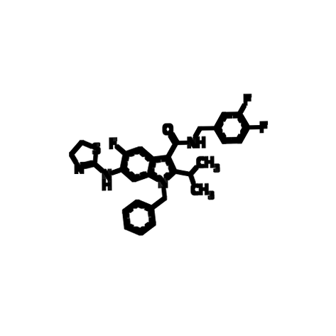 CC(C)c1c(C(=O)NCc2ccc(F)c(F)c2)c2cc(F)c(NC3=NCCS3)cc2n1Cc1ccccc1